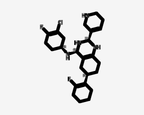 FC1=C(Cl)C[C@@H](N[C@H]2N[C@@H](C3=CCCNC3)NC3=C2C[C@H](C2=C(F)CCCC2)CC3)CC1